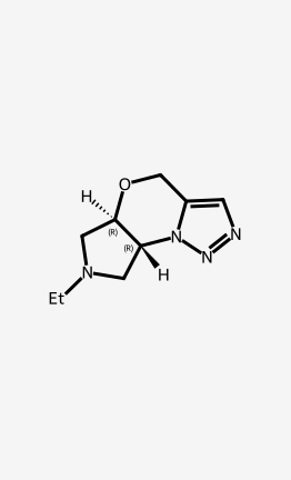 CCN1C[C@@H]2[C@@H](C1)OCc1cnnn12